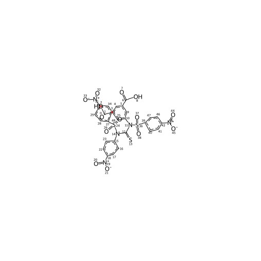 O=C(O)c1cc(C(=O)O)cc(N(C(=S)N(c2ccc([N+](=O)[O-])cc2)S(=O)(=O)c2ccc([N+](=O)[O-])cc2)S(=O)(=O)c2ccc([N+](=O)[O-])cc2)c1